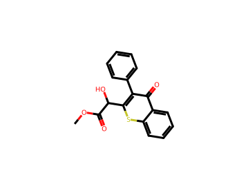 COC(=O)C(O)c1sc2ccccc2c(=O)c1-c1ccccc1